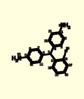 Nc1ccc(C(c2ccc(N)cc2)c2ccccc2F)cc1